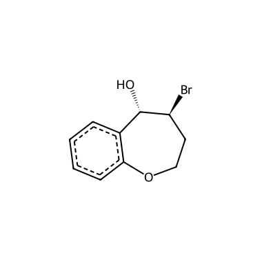 O[C@H]1c2ccccc2OCC[C@@H]1Br